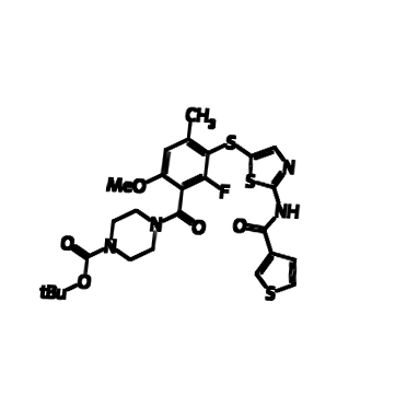 COc1cc(C)c(Sc2cnc(NC(=O)c3ccsc3)s2)c(F)c1C(=O)N1CCN(C(=O)OC(C)(C)C)CC1